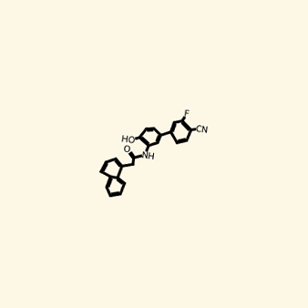 N#Cc1ccc(-c2ccc(O)c(NC(=O)Cc3cccc4ccccc34)c2)cc1F